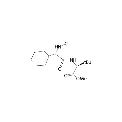 COC(=O)[C@@H](NC(=O)[C@@H](NCl)C1CCCCC1)C(C)(C)C